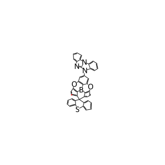 c1ccc2c(c1)Sc1ccccc1C21c2cccc3c2B2c4c(cc(-n5c6ccccc6n6c7ccccc7nc56)cc4Oc4cccc1c42)O3